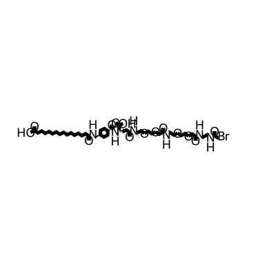 O=C(O)CCCCCCCCCCCCCCC(=O)NC[C@H]1CC[C@H](C(=O)N[C@@H](CCC(=O)NCCOCCOCC(=O)NCCOCCOCC(=O)NCCNC(=O)CBr)C(=O)O)CC1